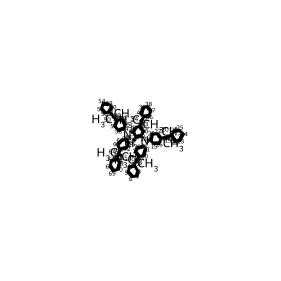 CC(C)(c1ccccc1)c1ccc(N(c2ccc(C(C)(C)c3ccccc3)cc2)c2cc(C(C)(C)c3ccccc3)cc(N(c3ccc(C(C)(C)c4ccccc4)cc3)c3ccc(C(C)(C)c4ccccc4)cc3)c2Cl)cc1